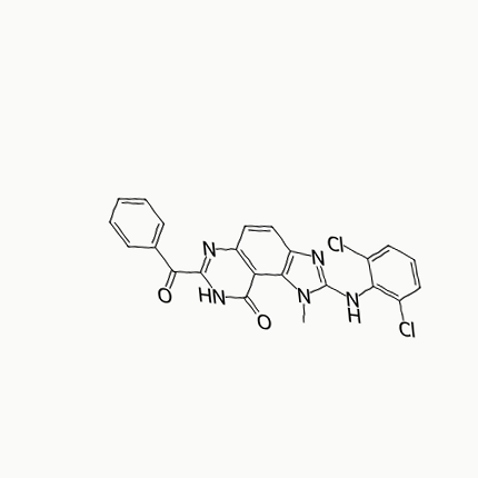 Cn1c(Nc2c(Cl)cccc2Cl)nc2ccc3nc(C(=O)c4ccccc4)[nH]c(=O)c3c21